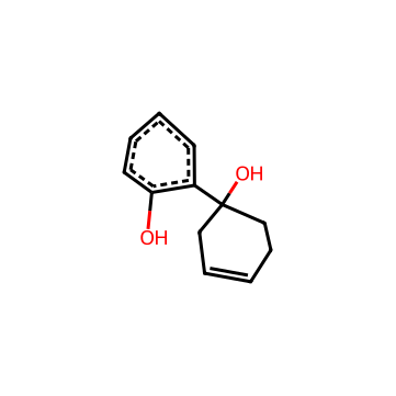 Oc1ccccc1C1(O)CC=CCC1